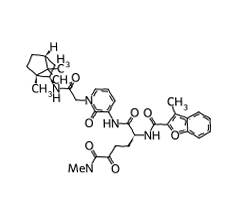 CNC(=O)C(=O)CC[C@H](NC(=O)c1oc2ccccc2c1C)C(=O)Nc1cccn(CC(=O)N[C@@H]2C[C@H]3CC[C@]2(C)C3(C)C)c1=O